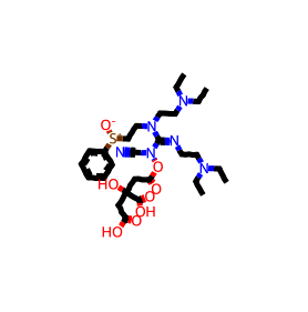 CCN(CC)CCN=C(N(CCN(CC)CC)CC[S+]([O-])c1ccccc1)N(C#N)OC(=O)CC(O)(CC(=O)O)C(=O)O